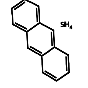 [SiH4].c1ccc2cc3ccccc3cc2c1